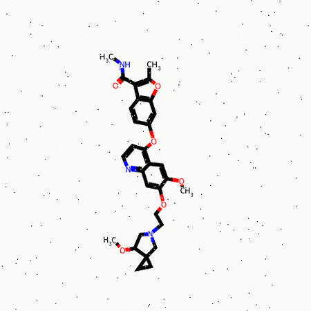 CNC(=O)c1c(C)oc2cc(Oc3ccnc4cc(OCCN5CC(OC)C6(CC6)C5)c(OC)cc34)ccc12